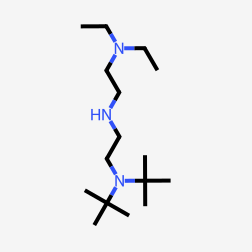 CCN(CC)CCNCCN(C(C)(C)C)C(C)(C)C